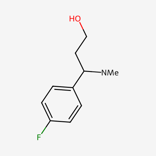 CNC(CCO)c1ccc(F)cc1